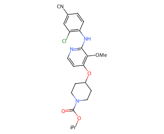 [C-]#[N+]c1ccc(Nc2nccc(OC3CCN(C(=O)OC(C)C)CC3)c2OC)c(Cl)c1